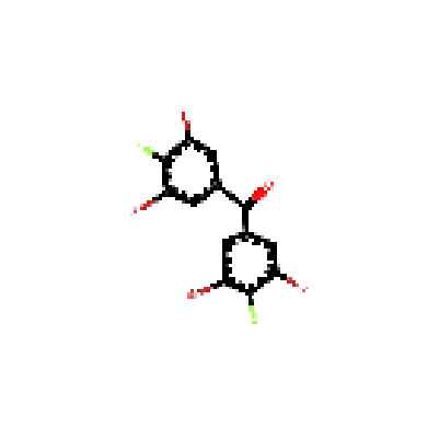 O=C(c1cc(Br)c(F)c(Br)c1)c1cc(Br)c(F)c(Br)c1